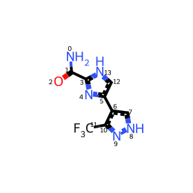 NC(=O)c1nc(-c2c[nH]nc2C(F)(F)F)c[nH]1